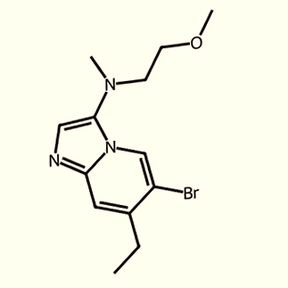 CCc1cc2ncc(N(C)CCOC)n2cc1Br